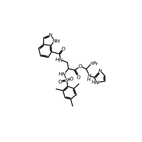 CCCC(Nc1ncc[nH]1)OC(=O)C(CNC(=O)c1cccc2cn[nH]c12)NS(=O)(=O)c1c(C)cc(C)cc1C